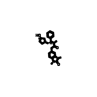 CN(C(=O)Cc1ccc2c(c1)n(C)c(=O)n2C)[C@H](CN1CC[C@H](O)C1)c1ccccc1